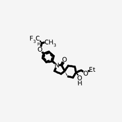 CCOC[C@]1(O)CC[C@@]2(CCN(c3ccc(O[C@H](C)C(F)(F)F)cc3)C2=O)CC1